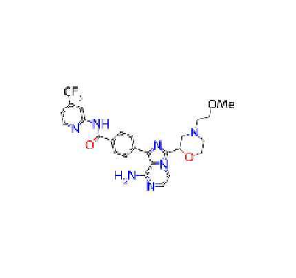 COCCN1CCOC(c2nc(-c3ccc(C(=O)Nc4cc(C(F)(F)F)ccn4)cc3)c3c(N)nccn23)C1